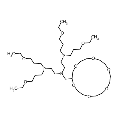 CCOCCCP(CCCOCC)CCN(CCP(CCCOCC)CCCOCC)CC1COCCOCCOCCOCCOCCO1